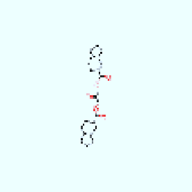 O=C(COC(=O)C1CCC2CCCC2C1)COC(=O)C1CCC2CCCC2C1